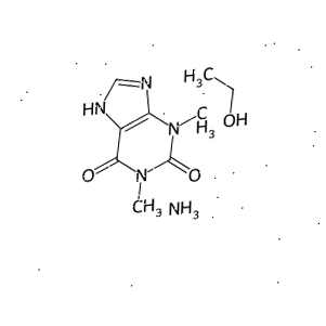 CCO.Cn1c(=O)c2[nH]cnc2n(C)c1=O.N